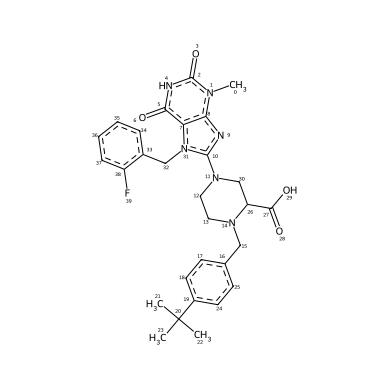 Cn1c(=O)[nH]c(=O)c2c1nc(N1CCN(Cc3ccc(C(C)(C)C)cc3)C(C(=O)O)C1)n2Cc1ccccc1F